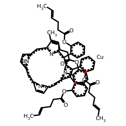 CC=CCCC(=O)Oc1ccccc1-c1c(-c2ccccc2OC(=O)CCC=CC)c2c(-c3ccccc3OC(=O)CCC=CC)c3nc(cc4ccc(cc5nc(cc1n2-c1ccccc1OC(=O)CCC=CC)C=C5)[nH]4)C=C3.[Cu]